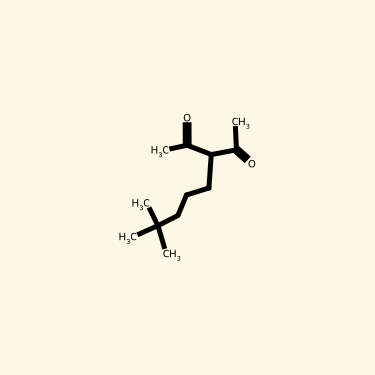 CC(=O)C(CCCC(C)(C)C)C(C)=O